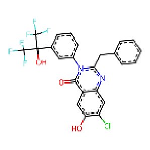 O=c1c2cc(O)c(Cl)cc2nc(Cc2ccccc2)n1-c1cccc(C(O)(C(F)(F)F)C(F)(F)F)c1